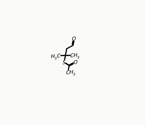 CC(=O)SC(C)(C)CC=O